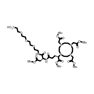 CC(C)(C)OC(=O)C[C@H](NC(=O)CC[C@H](C(=O)OC(C)(C)C)N1CCN(CC(=O)OC(C)(C)C)CCN(CC(=O)OC(C)(C)C)CCN(CC(=O)OC(C)(C)C)CC1)C(=O)NCCOCCOCCOCCC(=O)O